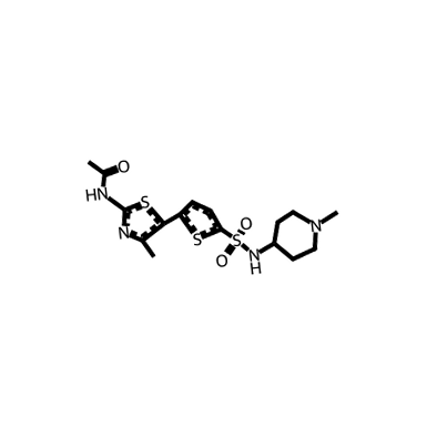 CC(=O)Nc1nc(C)c(-c2ccc(S(=O)(=O)NC3CCN(C)CC3)s2)s1